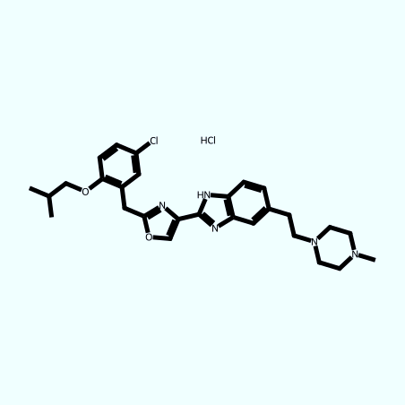 CC(C)COc1ccc(Cl)cc1Cc1nc(-c2nc3cc(CCN4CCN(C)CC4)ccc3[nH]2)co1.Cl